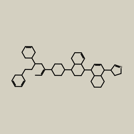 C/C=C(\CC(CCC1C=CC=CC1)C1CC=CCC1)C1CCC(C2CCC(C3C=CC(C4C=NCC4)C4CCCCC34)C3C=CCCC32)CC1